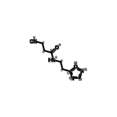 O=NCCC(=O)NCCc1ncno1